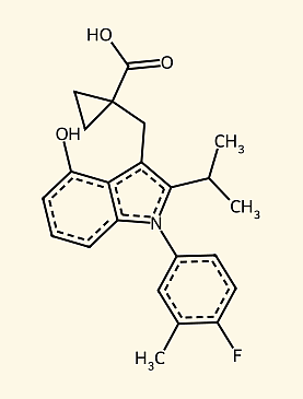 Cc1cc(-n2c(C(C)C)c(CC3(C(=O)O)CC3)c3c(O)cccc32)ccc1F